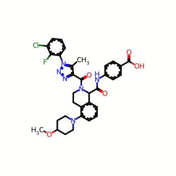 COC1CCN(c2cccc3c2CCN(C(=O)c2nnn(-c4cccc(Cl)c4F)c2C)C3C(=O)Nc2ccc(C(=O)O)cc2)CC1